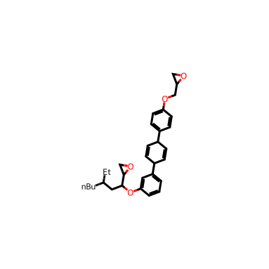 CCCCC(CC)CC(Oc1cccc(C2C=CC(c3ccc(OCC4CO4)cc3)C=C2)c1)C1CO1